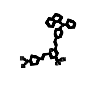 CCN(CC)c1ccc(/C=C/C2=CC(=C(C#N)C#N)C=C(/C=C/c3ccc(N(c4ccccc4)c4cccc5ccccc45)cc3)O2)cc1